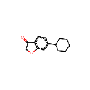 O=C1COc2cc(C3CCCCC3)ccc21